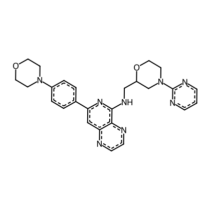 c1cnc(N2CCOC(CNc3nc(-c4ccc(N5CCOCC5)cc4)cc4nccnc34)C2)nc1